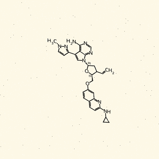 C=CC1C[C@H](n2cc(-c3ccn(C)n3)c3c(N)ncnc32)O[C@@H]1COc1ccc2ccc(NC3CC3)nc2c1